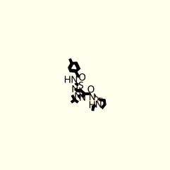 CCN1CCC[C@H]1CNC(=O)c1nn(C(C)(C)C)c2nc(NC(=O)c3ccc(C)cc3)sc12